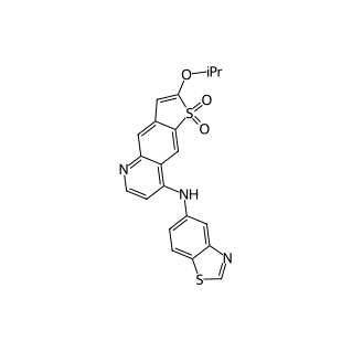 CC(C)OC1=Cc2cc3nccc(Nc4ccc5scnc5c4)c3cc2S1(=O)=O